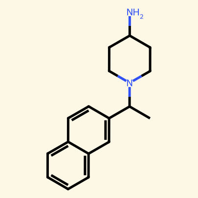 CC(c1ccc2ccccc2c1)N1CCC(N)CC1